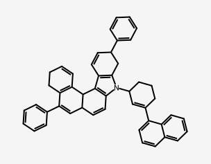 C1=CC2=C(CC1)C(c1ccccc1)=CC1C=Cc3c(c4c(n3C3C=C(c5cccc6ccccc56)CCC3)CC(c3ccccc3)C=C4)C21